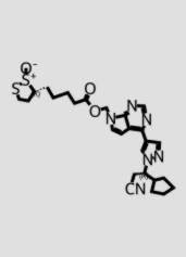 N#CC[C@H](C1CCCC1)n1cc(-c2ncnc3c2ccn3COC(=O)CCCC[C@@H]2CCS[S+]2[O-])cn1